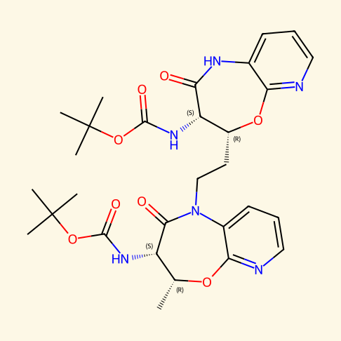 C[C@H]1Oc2ncccc2N(CC[C@H]2Oc3ncccc3NC(=O)[C@H]2NC(=O)OC(C)(C)C)C(=O)[C@H]1NC(=O)OC(C)(C)C